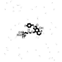 CCO[PH](CCNCOCC1C2CN(CC3C=CC(F)CC3)C(=O)C2C(O)C2C1CCCN2C)(OC)OCC